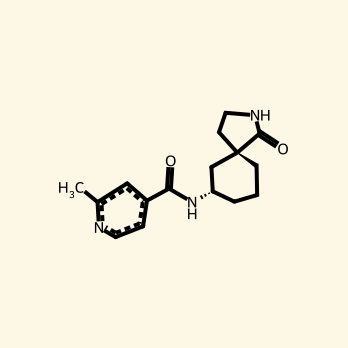 Cc1cc(C(=O)N[C@H]2CCC[C@]3(CCNC3=O)C2)ccn1